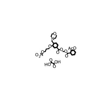 CC(=O)Oc1ccccc1C(=O)OCOC(=O)c1ccc(CN2CCOCC2)c(OCCCO[N+](=O)[O-])c1.O=C(O)C(=O)O